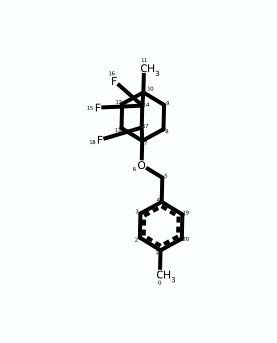 Cc1ccc(COC23CCC(C)(CC2)C(F)(F)C3F)cc1